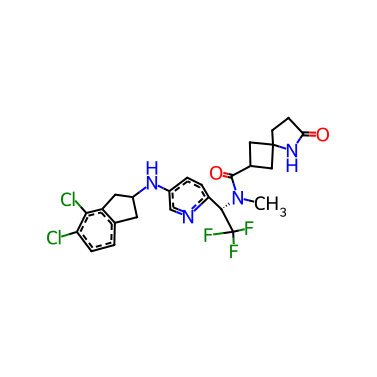 CN(C(=O)C1CC2(CCC(=O)N2)C1)[C@@H](c1ccc(NC2Cc3ccc(Cl)c(Cl)c3C2)cn1)C(F)(F)F